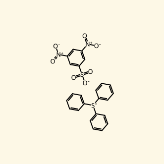 O=[N+]([O-])c1cc([N+](=O)[O-])cc(S(=O)(=O)[O-])c1.c1ccc([S+](c2ccccc2)c2ccccc2)cc1